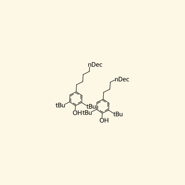 CCCCCCCCCCCCCCc1cc(C(C)(C)C)c(O)c(C(C)(C)C)c1.CCCCCCCCCCCCCc1cc(C(C)(C)C)c(O)c(C(C)(C)C)c1